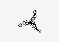 CCOCCOc1c(C)cc(OB(Oc2cc(C)c(OCCOCC)c(C)c2)Oc2cc(C)c(OCCOCC)c(C)c2)cc1C